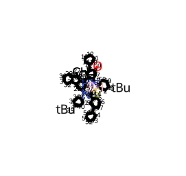 CC(C)(C)c1ccc(Nc2cc3oc4ccccc4c3cc2-c2c3c(cc4c2C(C)(C)c2ccccc2-4)N(c2ccc(C(C)(C)C)cc2)c2c(sc4ccc(-c5ccccc5)cc24)B3)cc1